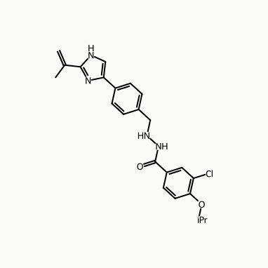 C=C(C)c1nc(-c2ccc(CNNC(=O)c3ccc(OC(C)C)c(Cl)c3)cc2)c[nH]1